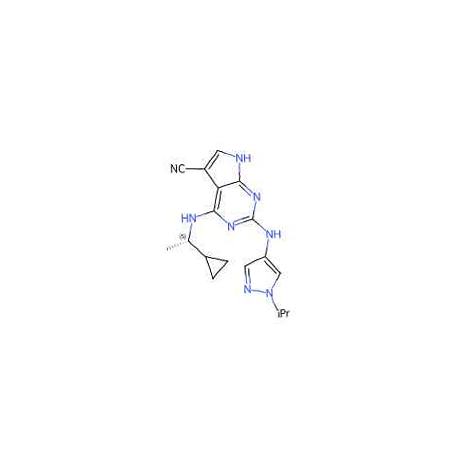 CC(C)n1cc(Nc2nc(N[C@@H](C)C3CC3)c3c(C#N)c[nH]c3n2)cn1